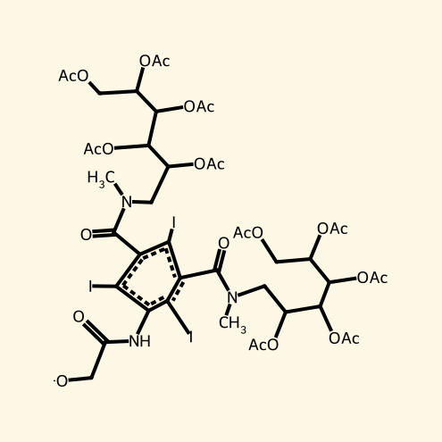 CC(=O)OCC(OC(C)=O)C(OC(C)=O)C(OC(C)=O)C(CN(C)C(=O)c1c(I)c(NC(=O)C[O])c(I)c(C(=O)N(C)CC(OC(C)=O)C(OC(C)=O)C(OC(C)=O)C(COC(C)=O)OC(C)=O)c1I)OC(C)=O